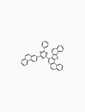 c1ccc(-c2nc(-c3ccc4c(ccc5ccccc54)c3)nc(-c3cc4ccc5ccccc5c4c4sc5c6ccccc6ccc5c34)n2)cc1